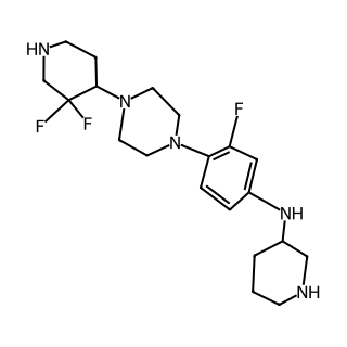 Fc1cc(NC2CCCNC2)ccc1N1CCN(C2CCNCC2(F)F)CC1